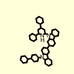 C1CCC(C2CCC(N3C4CCCCC4C4CC(C5CCC6C7CCCCC7N(C7CC(C8CCCCC8)CC(C8CCCCC8)N7)C6C5)CCC43)CC2)CC1